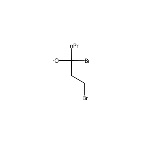 CCCC([O])(Br)CCBr